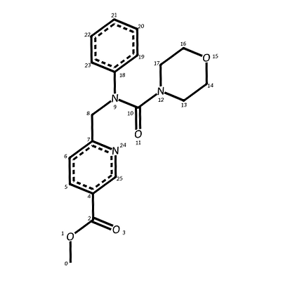 COC(=O)c1ccc(CN(C(=O)N2CCOCC2)c2ccccc2)nc1